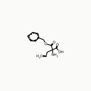 C=CCC(N)(C(=O)O)C(=O)OCc1ccccc1